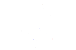 CC(C)(C)OC(=O)N1CCC[C@H]1c1nc2c(n1O)CCCc1cc(Br)ccc1-2